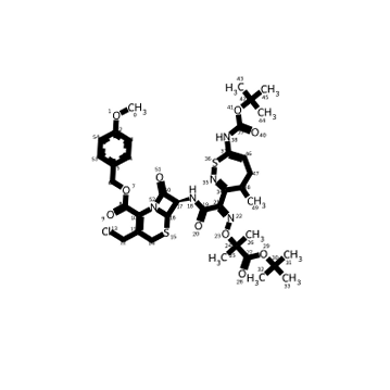 COc1ccc(COC(=O)C2=C(CCl)CSC3[C@H](NC(=O)/C(=N\OC(C)(C)C(=O)OC(C)(C)C)C4=NSC(NC(=O)OC(C)(C)C)=CCC4C)C(=O)N23)cc1